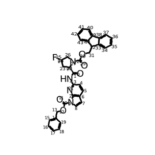 O=C(Nc1ccc2ccn(C(=O)OCc3ccccc3)c2n1)[C@H]1C[C@@H](F)CN1C(=O)OCC1c2ccccc2-c2ccccc21